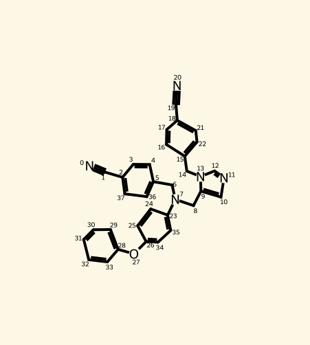 N#Cc1ccc(CN(Cc2cncn2Cc2ccc(C#N)cc2)c2ccc(Oc3ccccc3)cc2)cc1